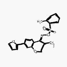 Cc1ccccc1S(=O)(=O)ON=C1c2ccc(-c3ccco3)cc2OCC1C